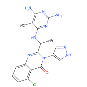 CCCC(Nc1nc(N)nc(N)c1C#N)c1nc2cccc(Cl)c2c(=O)n1-c1cn[nH]c1